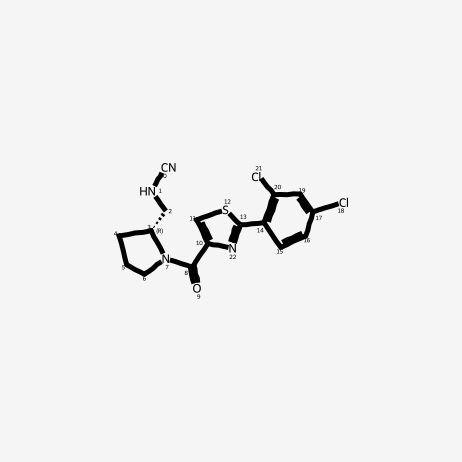 N#CNC[C@H]1CCCN1C(=O)c1csc(-c2ccc(Cl)cc2Cl)n1